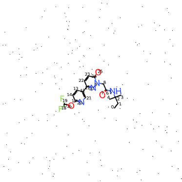 CCC(C)(C)NC(=O)Cn1nc(-c2ccc(OC(F)F)nc2)ccc1=O